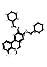 CCc1cccc2c1N(C)Cc1cc(OCC3CCCCC3)c(OCC3CCCCC3)cc1-2